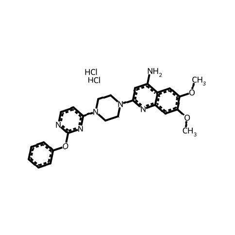 COc1cc2nc(N3CCN(c4ccnc(Oc5ccccc5)n4)CC3)cc(N)c2cc1OC.Cl.Cl